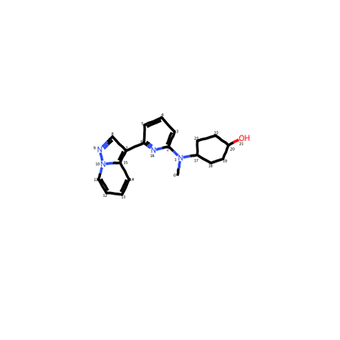 CN(c1cccc(-c2cnn3ccccc23)n1)C1CCC(O)CC1